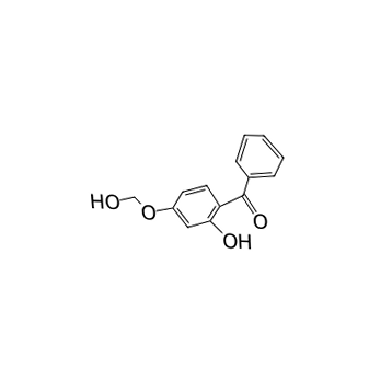 O=C(c1ccccc1)c1ccc(OCO)cc1O